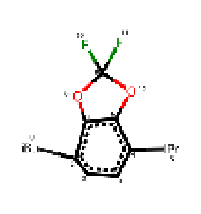 CCC(C)c1ccc(C(C)C)c2c1OC(F)(F)O2